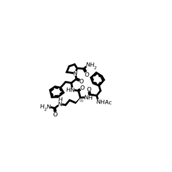 CC(=O)NC(Cc1ccccc1)C(=O)N[C@@H](CCCNC(N)=O)C(=O)NC(Cc1ccccc1)C(=O)N1CCCC1C(N)=O